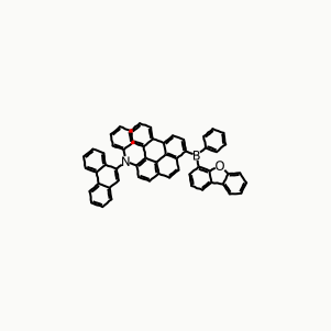 c1ccc(B(c2ccc3c4ccccc4c4c(N(c5ccccc5)c5cc6ccccc6c6ccccc56)ccc5ccc2c3c54)c2cccc3c2oc2ccccc23)cc1